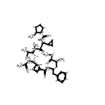 COC(=O)[C@@H](C)C[C@H](Cc1ccccc1)NC(=O)c1csc([C@@H](C[C@H](C(C)C)N(C)C(=O)[C@@H](NC(=O)[C@H]2CCCC2C)C2CC2)OC(C)=O)n1